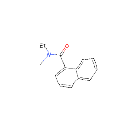 CCN(C)C(=O)c1cccc2ccccc12